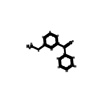 NCc1cccc(C(=O)c2cccnc2)c1